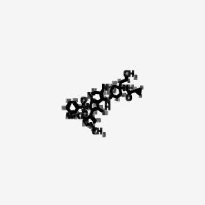 C=CCC1(NC(=O)C2CC2)CCC(Nc2c(N)cnc3c2c(I)c(-c2cn(C)nc2OC)n3S(=O)(=O)c2ccccc2)CC1